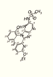 CCOC1=NC(c2nc3ncc(NS(C)(=O)=O)nc3n2-c2c(O)cccc2F)=C=C=C1